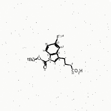 CC(C)(C)OC(=O)n1cc(CCCC(=O)O)c2cc(F)ccc21